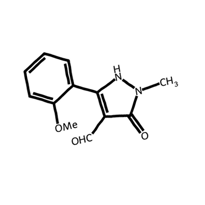 COc1ccccc1-c1[nH]n(C)c(=O)c1C=O